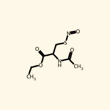 CCOC(=O)C(CSN=O)NC(C)=O